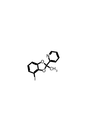 CC1(c2ccccn2)Oc2cccc(I)c2O1